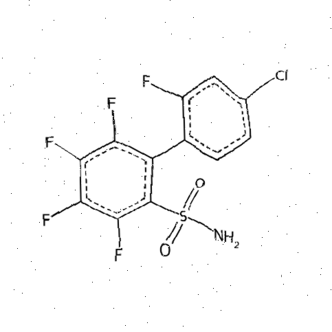 NS(=O)(=O)c1c(F)c(F)c(F)c(F)c1-c1ccc(Cl)cc1F